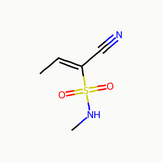 CC=C(C#N)S(=O)(=O)NC